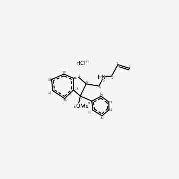 C=CCNCC(C)C(OC)(c1ccccc1)c1ccccc1.Cl